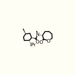 CC(C)[C@@H]1CC[C@@H](C)C[C@H]1C(=O)N(C)[C@@H]1CCCCOC1=O